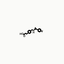 O=C(O)/C=C/c1ccc(CNC2CC2c2ccc(F)cc2)cc1